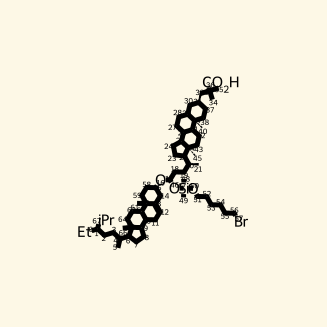 CCC(CCC(C)C1CCC2C3CC=C4CC(OC(CC[C@H](C)C5CCC6C7CCC8C[C@@H](CC(C)(C)C(=O)O)CC[C@@]8(C)C7CC[C@]65C)O[Si](C)(C)OCCCCCCBr)CCC4(C)C3CCC12C)C(C)C